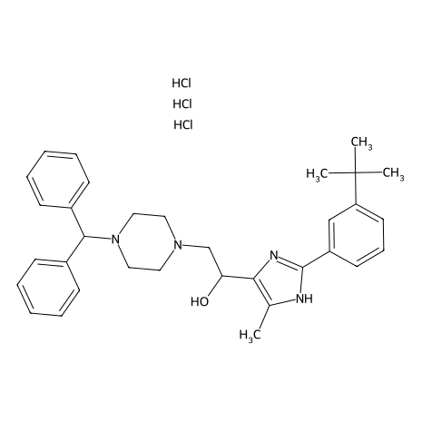 Cc1[nH]c(-c2cccc(C(C)(C)C)c2)nc1C(O)CN1CCN(C(c2ccccc2)c2ccccc2)CC1.Cl.Cl.Cl